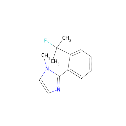 Cn1ccnc1-c1ccccc1C(C)(C)F